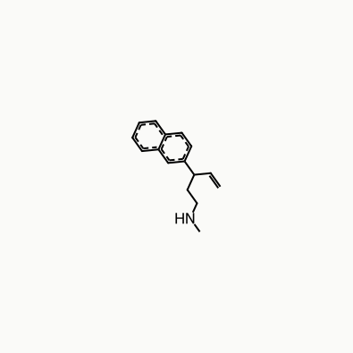 C=CC(CCNC)c1ccc2ccccc2c1